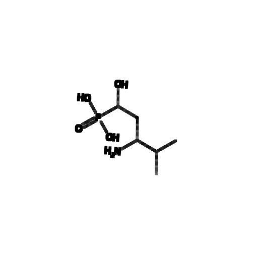 CC(C)C(N)CC(O)P(=O)(O)O